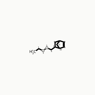 CCOOCC1CC2C=CC1C2